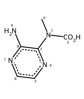 CN(C(=O)O)c1nccnc1N